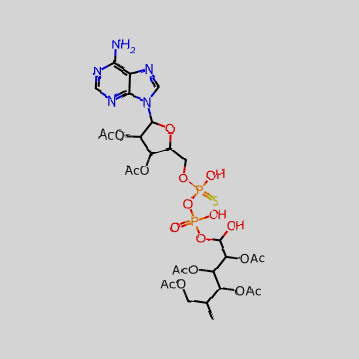 CC(=O)OCC(C)C(OC(C)=O)C(OC(C)=O)C(OC(C)=O)C(O)OP(=O)(O)OP(O)(=S)OCC1OC(n2cnc3c(N)ncnc32)C(OC(C)=O)C1OC(C)=O